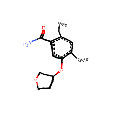 CNc1cc(OC)c(O[C@H]2CCOC2)cc1C(N)=O